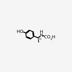 C[C@H](NC(=O)O)c1ccc(O)cc1